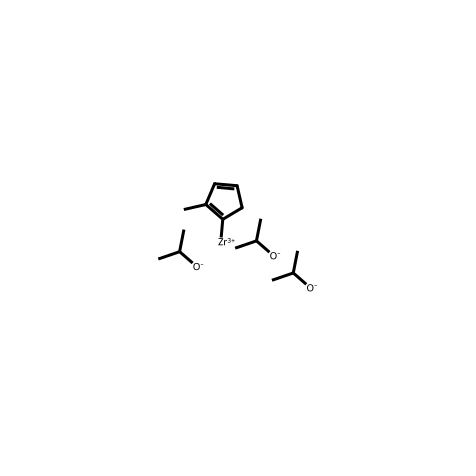 CC(C)[O-].CC(C)[O-].CC(C)[O-].CC1=[C]([Zr+3])CC=C1